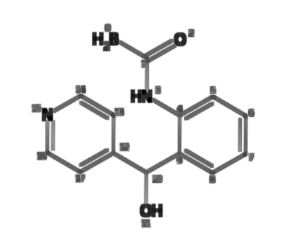 BC(=O)Nc1ccccc1C(O)c1ccncc1